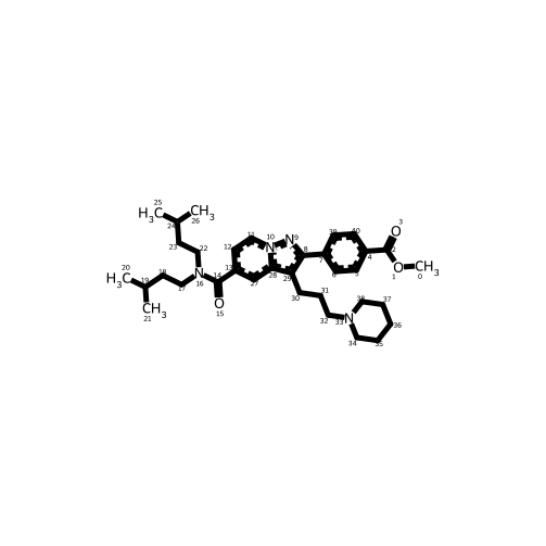 COC(=O)c1ccc(-c2nn3ccc(C(=O)N(CCC(C)C)CCC(C)C)cc3c2CCCN2CCCCC2)cc1